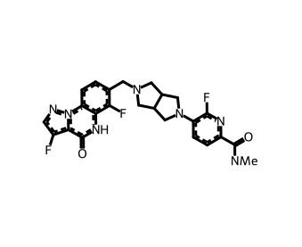 CNC(=O)c1ccc(N2CC3CN(Cc4ccc5c([nH]c(=O)c6c(F)cnn65)c4F)CC3C2)c(F)n1